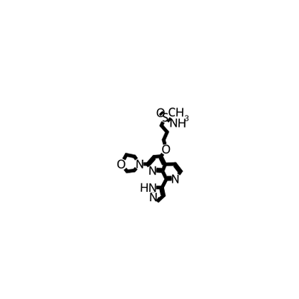 CS(=N)(=O)CCCOc1cc(N2CCOCC2)nc2c(-c3ccn[nH]3)nccc12